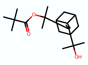 CC(C)(C)C(=O)OC(C)(C)C1=C2C3CC2CC(C(C)(C)O)(C1)C3